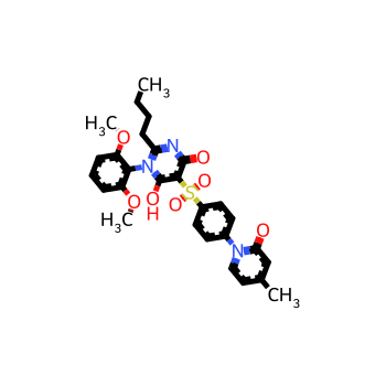 CCCCc1nc(=O)c(S(=O)(=O)c2ccc(-n3ccc(C)cc3=O)cc2)c(O)n1-c1c(OC)cccc1OC